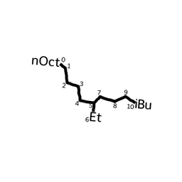 CCCCCCCCCCCCC(CC)CCCC(C)CC